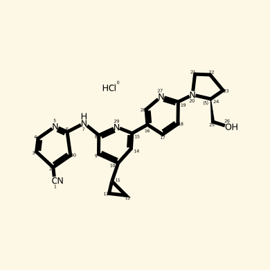 Cl.N#Cc1ccnc(Nc2cc(C3CC3)cc(-c3ccc(N4CCC[C@H]4CO)nc3)n2)c1